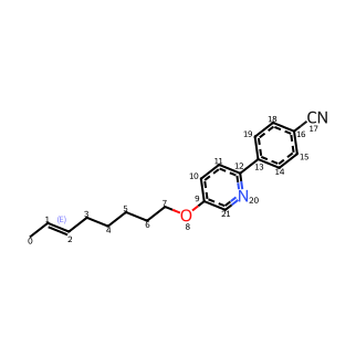 C/C=C/CCCCCOc1ccc(-c2ccc(C#N)cc2)nc1